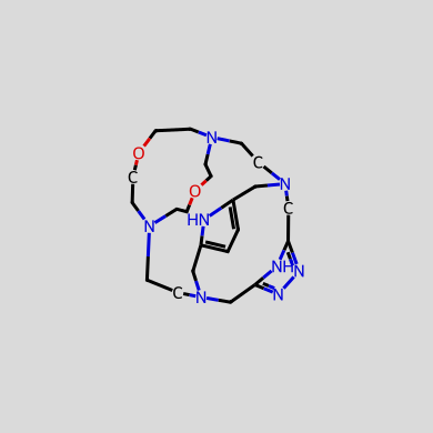 c1cc2[nH]c1CN1CCN3CCOCCN(CCOCC3)CCN(C2)Cc2nnc([nH]2)C1